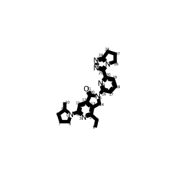 CCc1nc(N2CCCC2C)cc2c1CN(c1cccc(-c3nnc4n3CCC4)n1)C2=O